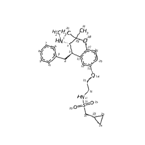 CN[C@H]1[C@H](Cc2ccccc2)c2cc(OCCNS(=O)(=O)CC3CC3)ccc2OC1(C)C